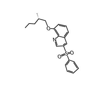 CCC[C@H](C)COc1cccc2cc(S(=O)(=O)c3ccccc3)cnc12